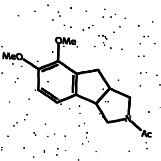 COc1ccc2c(c1OC)CC1CN(C(C)=O)CC21